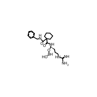 N=C(N)NCCC[C@H](NC(=O)C1(C(=O)NCc2ccccc2)CCCCC1)OBO